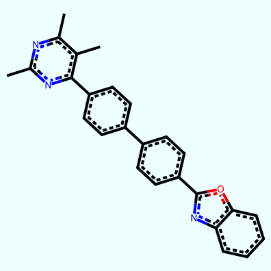 Cc1nc(C)c(C)c(-c2ccc(-c3ccc(-c4nc5ccccc5o4)cc3)cc2)n1